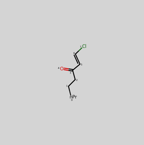 CCCCCC(=O)C=CCl